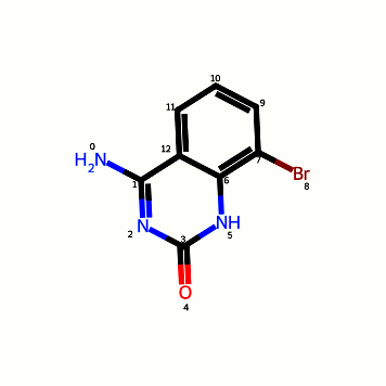 Nc1nc(=O)[nH]c2c(Br)cccc12